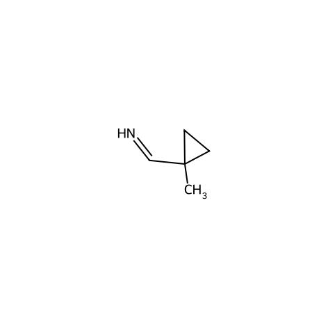 CC1(C=N)CC1